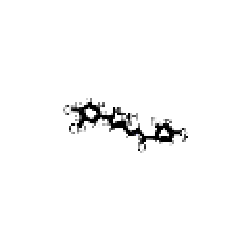 COc1ccc(C(=O)/C=C/c2cc(-c3ccc(Cl)c(Cl)c3)n[nH]2)c(F)c1